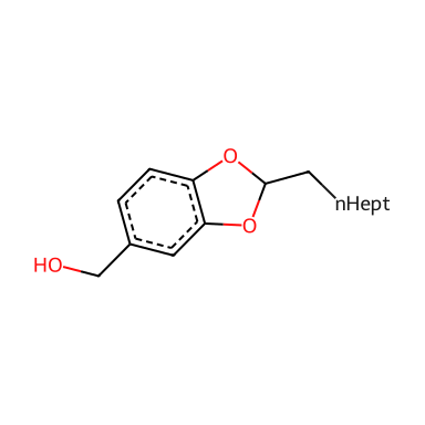 CCCCCCCCC1Oc2ccc(CO)cc2O1